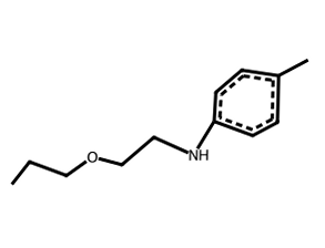 CCCOCCNc1ccc(C)cc1